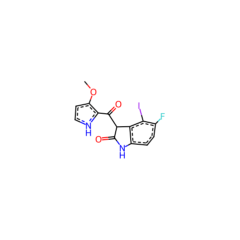 COc1cc[nH]c1C(=O)C1C(=O)Nc2ccc(F)c(I)c21